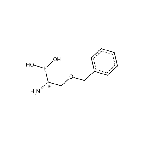 N[C@@H](COCc1ccccc1)P(O)O